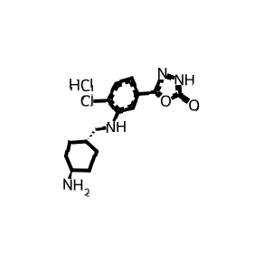 Cl.N[C@H]1CC[C@H](CNc2cc(-c3n[nH]c(=O)o3)ccc2Cl)CC1